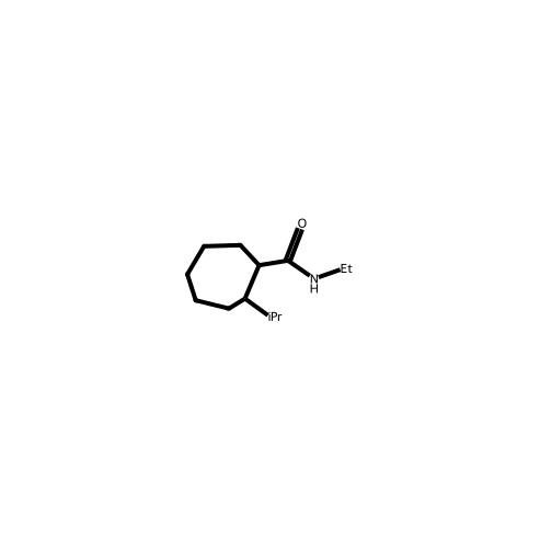 CCNC(=O)C1CCCCCC1C(C)C